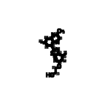 COc1cnc2c(-c3nc4c(C)cc(OCCO)nc4s3)cc(C)cc2n1